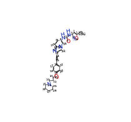 CC(C)(C)c1cc(NC(=O)Nc2ccc3nc(C#Cc4ccc(OCCCN5CCCCC5)cc4)cn3c2)no1